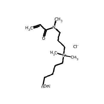 C=CC(=O)N(C)CCC[N+](C)(C)CCCCCCCCCCCCCC.[Cl-]